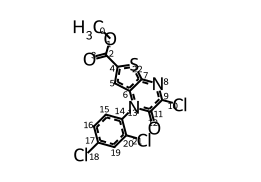 COC(=O)c1cc2c(nc(Cl)c(=O)n2-c2ccc(Cl)cc2Cl)s1